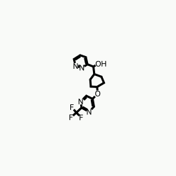 OC(c1cccnn1)C1CCC(Oc2cnc(C(F)(F)F)nc2)CC1